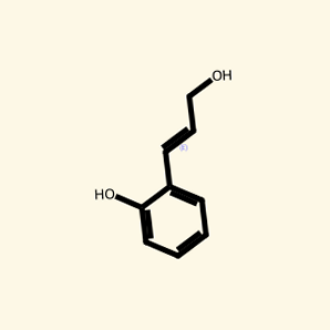 OC/C=C/c1ccccc1O